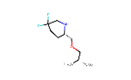 CN[C@@H](COC[C@@H]1CCC(F)(F)CN1)C(=O)O